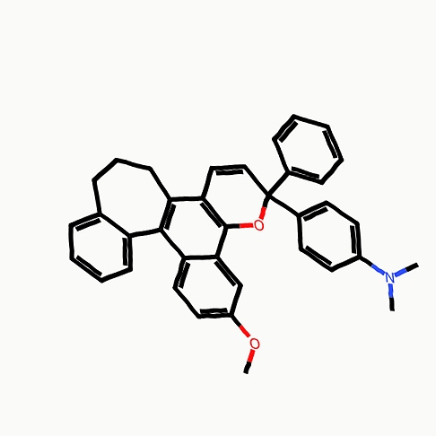 COc1ccc2c3c(c4c(c2c1)OC(c1ccccc1)(c1ccc(N(C)C)cc1)C=C4)CCCc1ccccc1-3